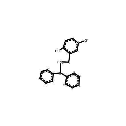 Oc1ccc(Cl)cc1CNC(c1ccccc1)c1ccccc1